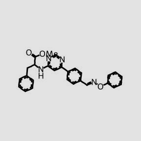 COC(=O)C(Cc1ccccc1)Nc1cc(-c2ccc(/C=N/Oc3ccccc3)cc2)ncn1